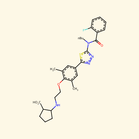 CCCCN(C(=O)c1ccccc1F)c1nnc(-c2cc(C)c(OCCNC3CCCC3C(=O)O)c(C)c2)s1